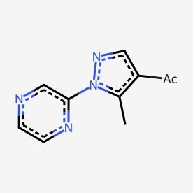 CC(=O)c1cnn(-c2cnccn2)c1C